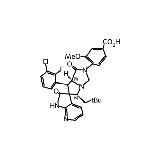 COc1cc(C(=O)O)ccc1N1CN2[C@@H](CC(C)(C)C)C3(C(=O)Nc4ncccc43)[C@@H](c3cccc(Cl)c3F)[C@@H]2C1=O